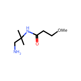 COCCC(=O)NC(C)(C)CN